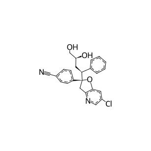 N#Cc1ccc([C@]2([C@@H](C[C@H](O)CO)c3ccccc3)Cc3ncc(Cl)cc3O2)cc1